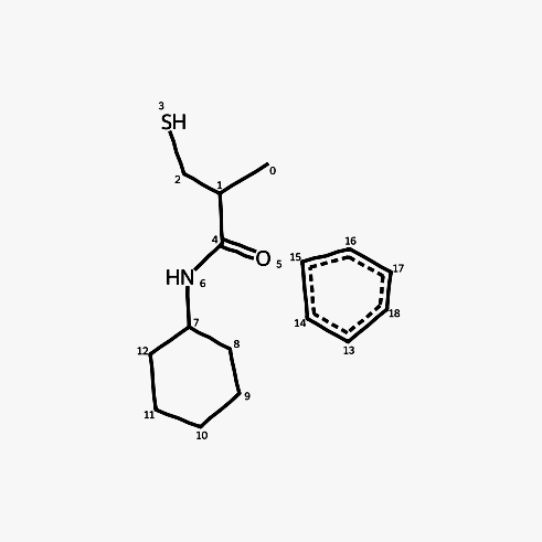 CC(CS)C(=O)NC1CCCCC1.c1ccccc1